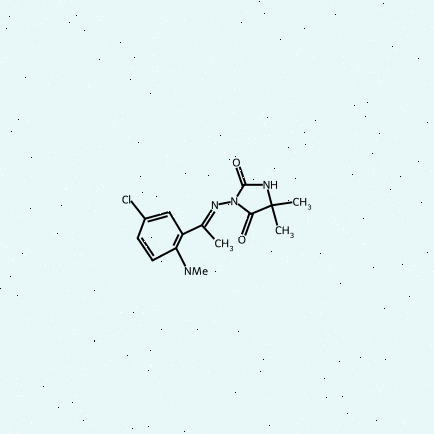 CNc1ccc(Cl)cc1/C(C)=N/N1C(=O)NC(C)(C)C1=O